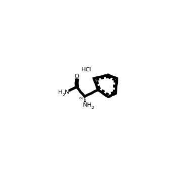 Cl.NC(=O)[C@@H](N)c1ccccc1